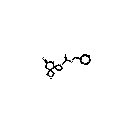 O=C1CC2(COC2)C2(CCCN(C(=O)OCc3ccccc3)C2)N1